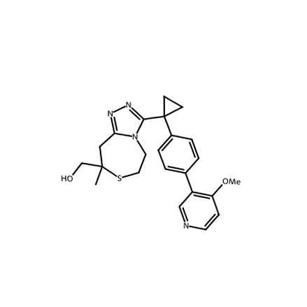 COc1ccncc1-c1ccc(C2(c3nnc4n3CCSC(C)(CO)C4)CC2)cc1